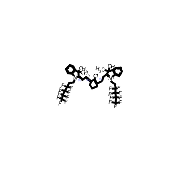 CC1(C)C(/C=C/C2=C(Cl)C(=C/C=C3/N(CCC(F)(F)C(F)(F)C(F)(F)C(F)(F)F)c4ccccc4C3(C)C)/CCC2)=[N+](CCC(F)(F)C(F)(F)C(F)(F)C(F)(F)F)c2ccccc21